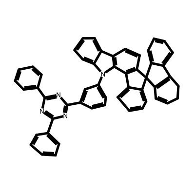 C1=CC2=C(CC1)c1ccccc1C21c2ccccc2-c2c1ccc1c3ccccc3n(-c3cccc(-c4nc(-c5ccccc5)nc(-c5ccccc5)n4)c3)c21